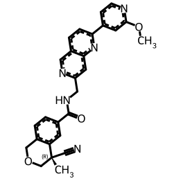 COc1cc(-c2ccc3cnc(CNC(=O)c4ccc5c(c4)[C@](C)(C#N)COC5)cc3n2)ccn1